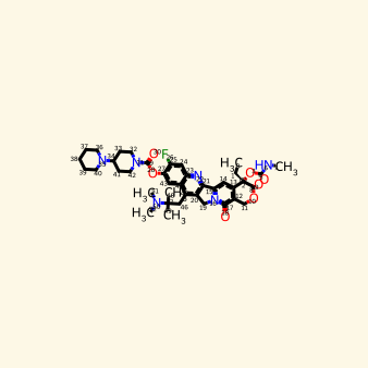 CC[C@@]1(OC(=O)NC)C(=O)OCc2c1cc1n(c2=O)Cc2c-1nc1cc(F)c(OC(=O)N3CCC(N4CCCCC4)CC3)cc1c2CC(C)(C)N(C)C